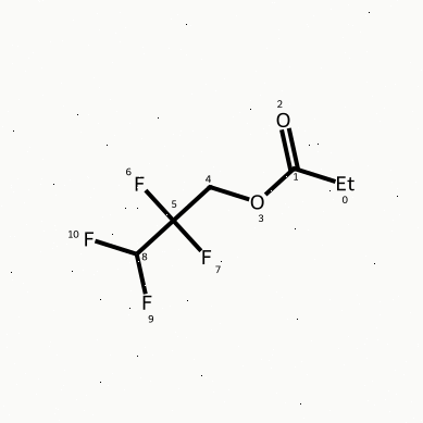 CCC(=O)OCC(F)(F)C(F)F